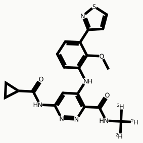 [2H]C([2H])([2H])NC(=O)c1nnc(NC(=O)C2CC2)cc1Nc1cccc(-c2ccsn2)c1OC